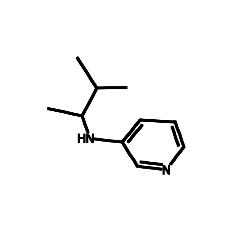 CC(C)C(C)Nc1cccnc1